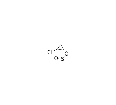 ClC1CC1.O=S=O